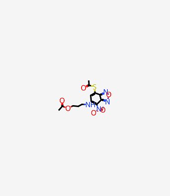 CC(=O)OCCCNc1cc(SC(C)=O)c2nonc2c1[N+](=O)[O-]